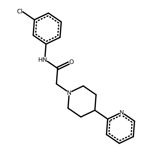 O=C(CN1CCC(c2ccccn2)CC1)Nc1cccc(Cl)c1